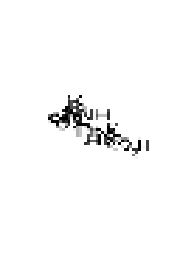 CC(C)C[C@@]1(c2ccccc2)NC(=N)N(C(C)CCCNC(=O)C(CC2CCCCC2)NC(=O)O)C1=O